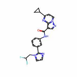 O=C(Nc1cccc(-c2nccn2CC(F)F)c1)c1cnn2ccc(C3CC3)nc12